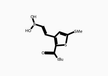 CSc1cc(/C=C/B(O)O)c(C(=O)C(C)(C)C)s1